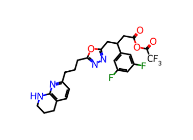 O=C(CC(Cc1nnc(CCCc2ccc3c(n2)NCCC3)o1)c1cc(F)cc(F)c1)OC(=O)C(F)(F)F